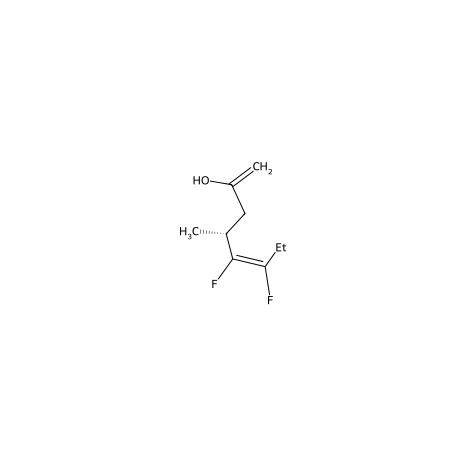 C=C(O)C[C@@H](C)/C(F)=C(/F)CC